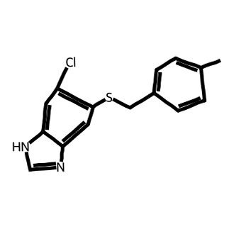 Cc1ccc(CSc2cc3nc[nH]c3cc2Cl)cc1